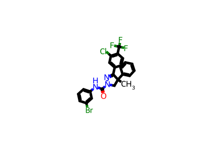 CC1(c2ccccc2)CN(C(=O)Nc2cccc(Br)c2)N=C1c1ccc(C(F)(F)F)c(Cl)c1